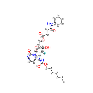 CCCCCCCOC(=O)Nc1ccnc(=O)n1[C@@H]1O[C@H](COC(=O)CCC(=O)Nc2ccccc2)[C@@H](O)C1(F)F